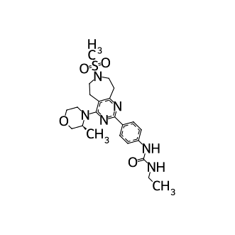 CCNC(=O)Nc1ccc(-c2nc3c(c(N4CCOC[C@@H]4C)n2)CCN(S(C)(=O)=O)CC3)cc1